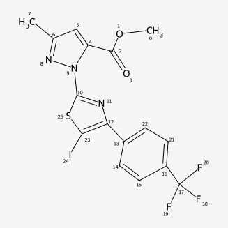 COC(=O)c1cc(C)nn1-c1nc(-c2ccc(C(F)(F)F)cc2)c(I)s1